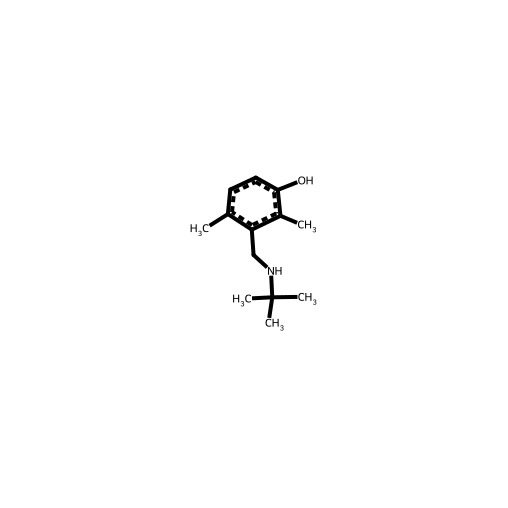 Cc1ccc(O)c(C)c1CNC(C)(C)C